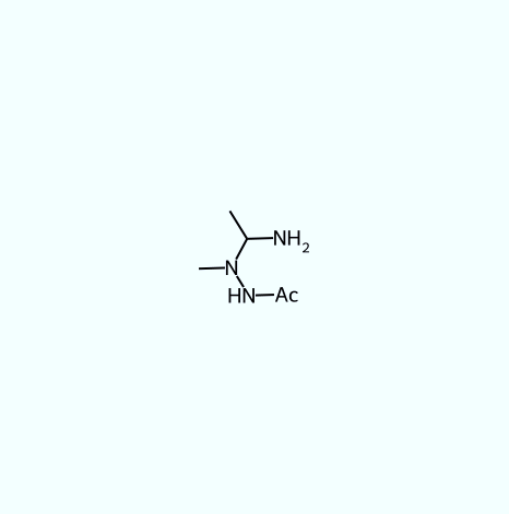 CC(=O)NN(C)C(C)N